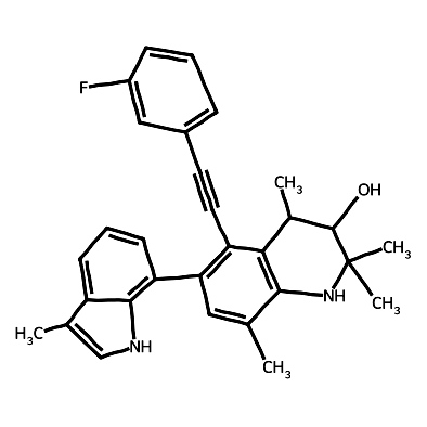 Cc1cc(-c2cccc3c(C)c[nH]c23)c(C#Cc2cccc(F)c2)c2c1NC(C)(C)C(O)C2C